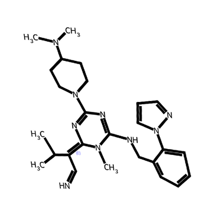 CC(C)/C(C=N)=C1\N=C(N2CCC(N(C)C)CC2)N=C(NCc2ccccc2-n2cccn2)N1C